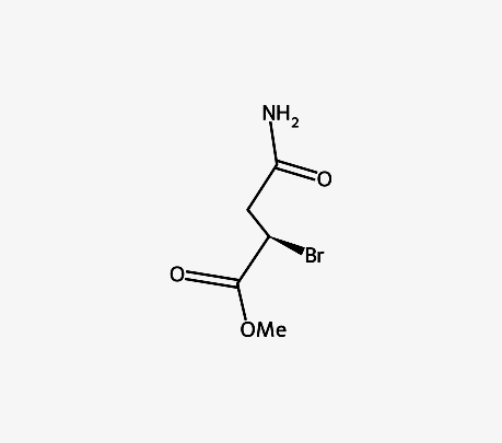 COC(=O)[C@H](Br)CC(N)=O